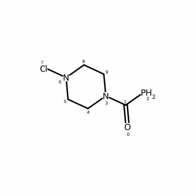 O=C(P)N1CCN(Cl)CC1